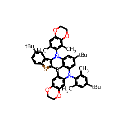 Cc1cc(C(C)(C)C)cc(C)c1N1c2cc3c(cc2B2c4sc5ccc(C(C)(C)C)cc5c4N(c4c(C)cc5c(c4C)OCCO5)c4cc(C(C)(C)C)cc1c42)OCCO3